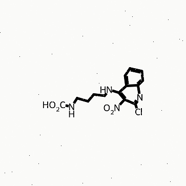 O=C(O)NCCCCNc1c([N+](=O)[O-])c(Cl)nc2ccccc12